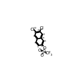 O=S(=O)(Oc1ccc2cc(Cl)c(Cl)cc2c1)C(F)(F)F